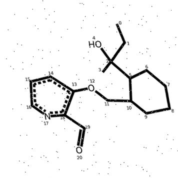 CCC(C)(O)C1CCCCC1COc1cccnc1C=O